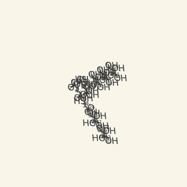 CC(=O)SCCC(=O)O.CC(=O)SCCC(=O)O.O=C(O)CCS.O=C(O)CCS.OC[C@@H](O)[C@@H](O)CO.OC[C@@H](O)[C@@H](O)CO.OC[C@@H](O)[C@@H](O)CO.OC[C@@H](O)[C@@H](O)CO.OC[C@@H](O)[C@@H](O)CO